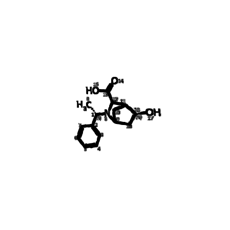 C[C@@H](c1ccccc1)N1C2CC(C1C(=O)O)[C@@H](O)C2